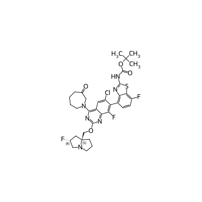 CC(C)(C)OC(=O)Nc1nc2c(-c3c(Cl)cc4c(N5CCCCC(=O)C5)nc(OC[C@@]56CCCN5C[C@H](F)C6)nc4c3F)ccc(F)c2s1